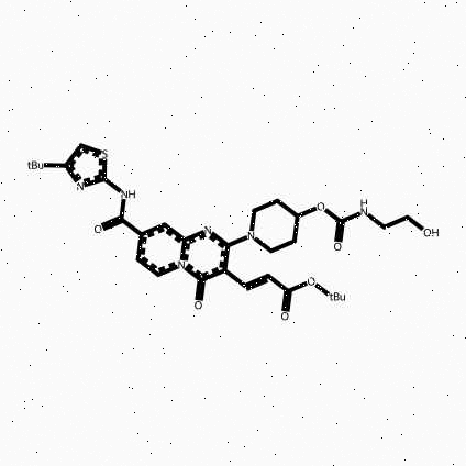 CC(C)(C)OC(=O)/C=C/c1c(N2CCC(OC(=O)NCCO)CC2)nc2cc(C(=O)Nc3nc(C(C)(C)C)cs3)ccn2c1=O